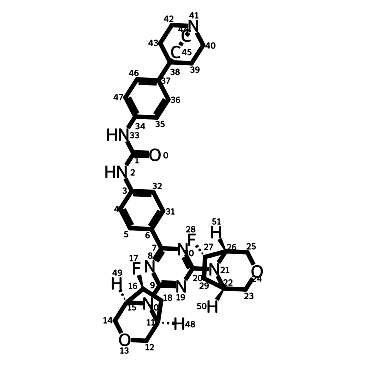 O=C(Nc1ccc(-c2nc(N3[C@@H]4COC[C@H]3[C@@H](F)C4)nc(N3[C@@H]4COC[C@H]3[C@@H](F)C4)n2)cc1)Nc1ccc(C23CCN(CC2)CC3)cc1